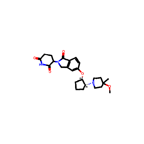 COC1(C)CCN([C@@H]2CCC[C@@H]2Oc2ccc3c(c2)CN(C2CCC(=O)NC2=O)C3=O)CC1